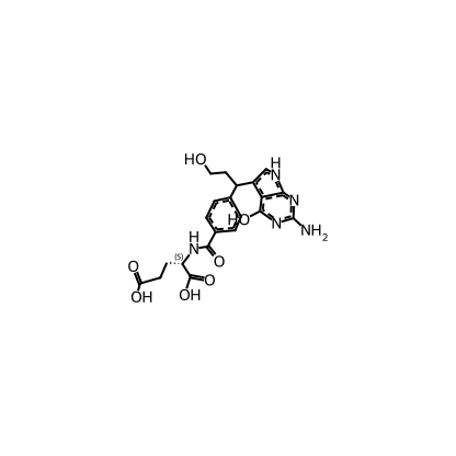 Nc1nc(O)c2c(C(CCO)c3ccc(C(=O)N[C@@H](CCC(=O)O)C(=O)O)cc3)c[nH]c2n1